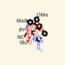 COc1ccc(C(OC(C(=O)COc2ccccc2)[C@H]2O[C@@H](n3cnc4c(N)ncnc43)[C@H](OCOC(=O)C(C)(C)C)[C@@H]2OP(OCCC#N)N(C(C)C)C(C)C)(c2ccccc2)c2ccc(OC)cc2)cc1